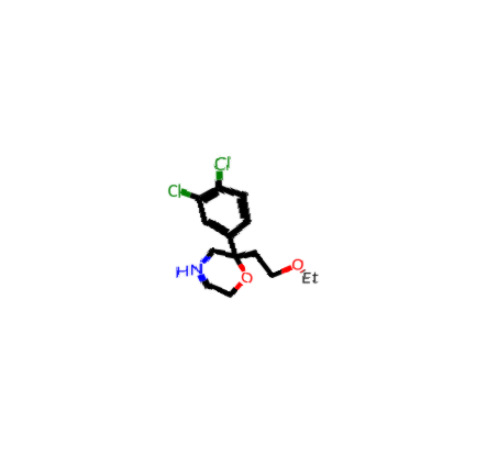 CCOCCC1(c2ccc(Cl)c(Cl)c2)CNCCO1